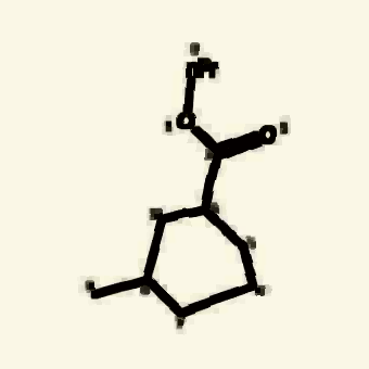 CCCOC(=O)C1CCCC(C)C1